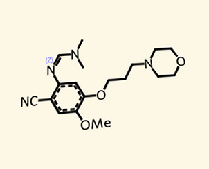 COc1cc(C#N)c(/N=C\N(C)C)cc1OCCCN1CCOCC1